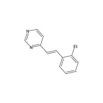 CCc1c[c]ccc1C=Cc1ccncn1